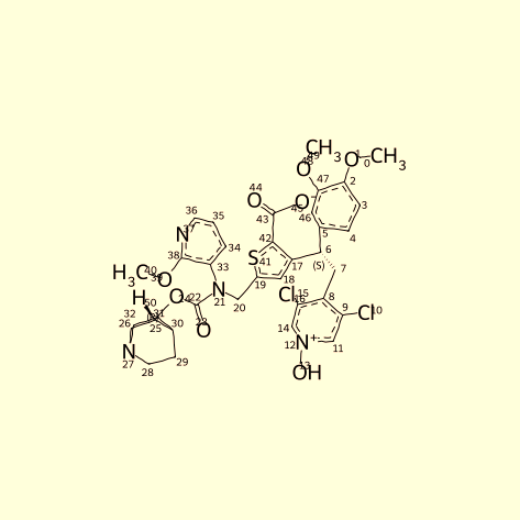 COc1ccc([C@H](Cc2c(Cl)c[n+](O)cc2Cl)c2cc(CN(C(=O)O[C@H]3CN4CCC3CC4)c3cccnc3OC)sc2C(=O)[O-])cc1OC